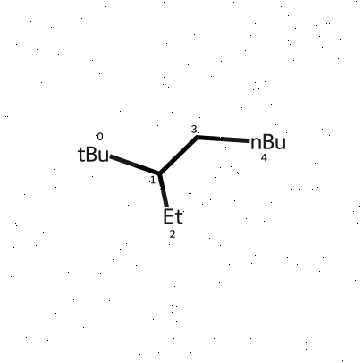 [CH2]C(C)(C)C(CC)CCCCC